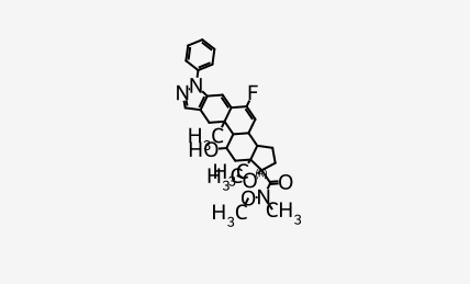 CON(C)C(=O)[C@@]1(OC)CCC2C3C=C(F)C4=Cc5c(cnn5-c5ccccc5)CC4(C)C3C(O)CC21C